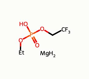 CCOP(=O)(O)OCC(F)(F)F.[MgH2]